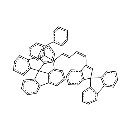 C1=C(/C=C\C=C\N(c2ccccc2-c2ccccc2)c2cccc3c2C2(c4ccccc4-c4ccccc42)c2ccccc2-3)c2ccccc2C12c1ccccc1-c1ccccc12